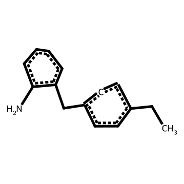 CCc1ccc(Cc2ccccc2N)cc1